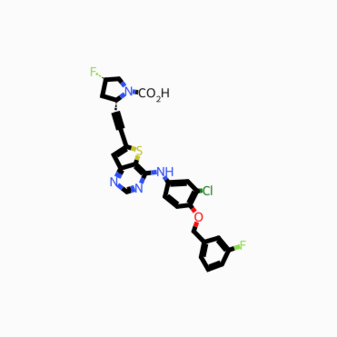 O=C(O)N1C[C@@H](F)C[C@H]1C#Cc1cc2ncnc(Nc3ccc(OCc4cccc(F)c4)c(Cl)c3)c2s1